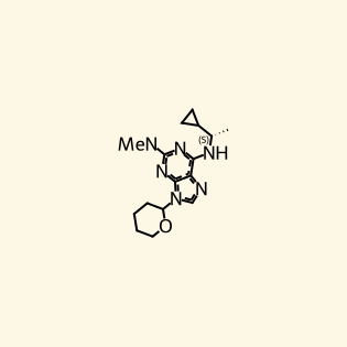 CNc1nc(N[C@@H](C)C2CC2)c2ncn(C3CCCCO3)c2n1